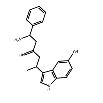 CC(CC(=N)CC(N)c1ccccc1)c1c[nH]c2ccc(C#N)cc12